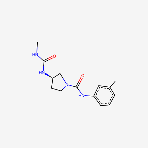 CNC(=O)N[C@@H]1CCN(C(=O)Nc2cccc(C)c2)C1